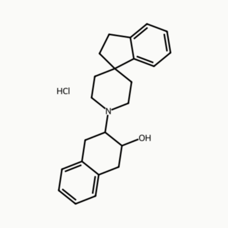 Cl.OC1Cc2ccccc2CC1N1CCC2(CCc3ccccc32)CC1